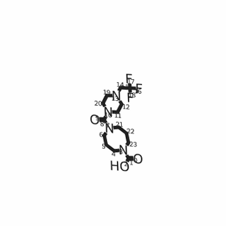 O=C(O)N1CCCN(C(=O)N2CCN(CC(F)(F)F)CC2)CCC1